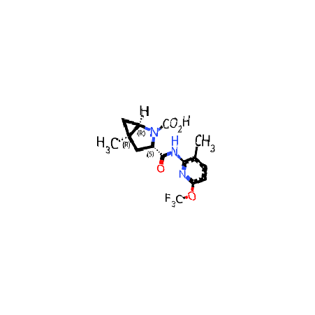 Cc1ccc(OC(F)(F)F)nc1NC(=O)[C@@H]1C[C@@]2(C)C[C@H]2N1C(=O)O